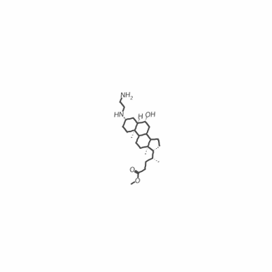 COC(=O)CC[C@@H](C)[C@H]1CCC2C3C[C@@H](O)[C@@H]4C[C@@H](NCCN)CC[C@]4(C)C3CC[C@@]21C